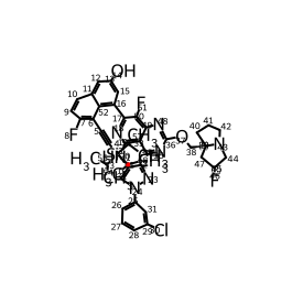 CC(C)[Si](C#Cc1c(F)ccc2cc(O)cc(-c3nc(Nc4cnn(-c5cccc(Cl)c5)c4)c4cnc(OC[C@@]56CCCN5C[C@H](F)C6)nc4c3F)c12)(C(C)C)C(C)C